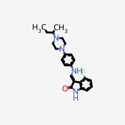 CCC(C)N1CCN(c2ccc(N/C=C3/C(=O)Nc4cccc(F)c43)cc2)CC1